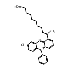 CCCCCCCCCCCCCCCCCCN(C)c1cccc2c1nc1ccccc1[n+]2-c1ccccc1.[Cl-]